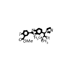 CCC(C(c1ccc2nc(-c3ccc(F)c(C(=O)OC)c3)sc2c1)n1ccnc1)N(C)C